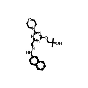 CC(C)(O)COc1nc(C=NNc2ccc3ccccc3c2)nc(N2CCOCC2)n1